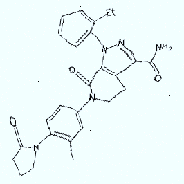 CCc1ccccc1-n1nc(C(N)=O)c2c1C(=O)N(c1ccc(N3CCCC3=O)c(C)c1)CC2